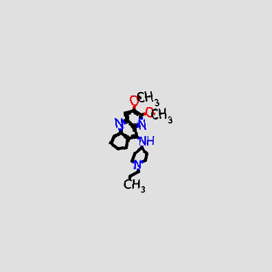 CCCN1CCC(Nc2c3c(nc4cc(OC)c(OC)nc24)CCCC3)CC1